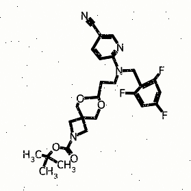 CC(C)(C)OC(=O)N1CC2(COC(CCN(Cc3c(F)cc(F)cc3F)c3ccc(C#N)cn3)OC2)C1